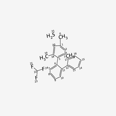 Cc1cc(C)c(-c2ccccc2-c2ccccc2)c(C)c1.FC(F)F.S